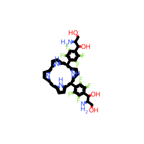 NC(CO)C(O)c1c(F)c(F)c(-c2c3ccc(cc4nc(c5ccc([nH]5)c(-c5c(F)c(F)c(C(O)C(N)CO)c(F)c5F)c5ccc2[nH]5)C=C4)[nH]3)c(F)c1F